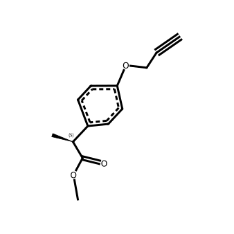 C#CCOc1ccc([C@H](C)C(=O)OC)cc1